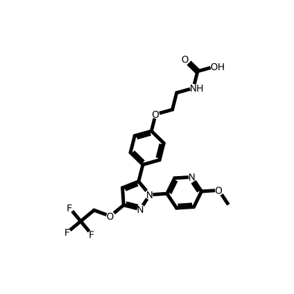 COc1ccc(-n2nc(OCC(F)(F)F)cc2-c2ccc(OCCNC(=O)O)cc2)cn1